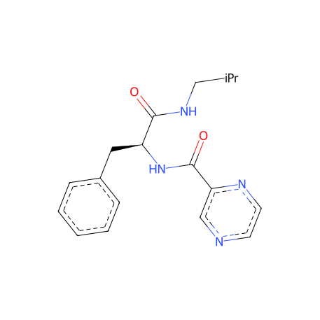 CC(C)CNC(=O)[C@H](Cc1ccccc1)NC(=O)c1cnccn1